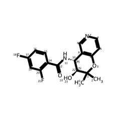 CC1(C)Oc2ccncc2[C@@H](NC(=O)c2ccc(F)cc2F)[C@@H]1O